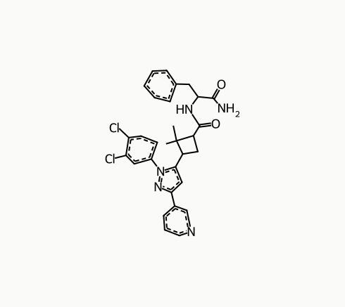 CC1(C)C(C(=O)NC(Cc2ccccc2)C(N)=O)CC1c1cc(-c2cccnc2)nn1-c1ccc(Cl)c(Cl)c1